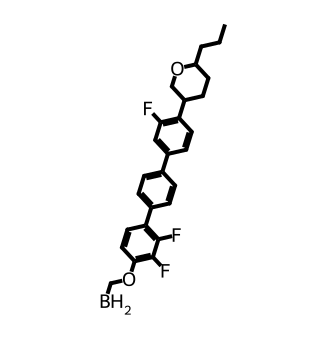 BCOc1ccc(-c2ccc(-c3ccc(C4CCC(CCC)OC4)c(F)c3)cc2)c(F)c1F